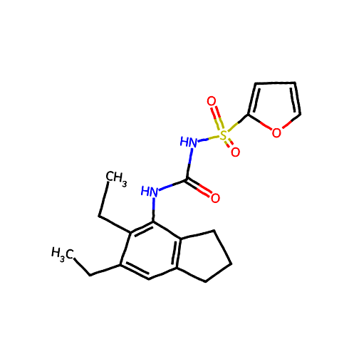 CCc1cc2c(c(NC(=O)NS(=O)(=O)c3ccco3)c1CC)CCC2